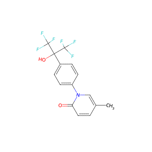 Cc1ccc(=O)n(-c2ccc(C(O)(C(F)(F)F)C(F)(F)F)cc2)c1